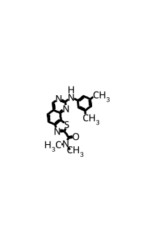 Cc1cc(C)cc(Nc2ncc3ccc4nc(C(=O)N(C)C)sc4c3n2)c1